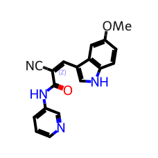 COc1ccc2[nH]cc(/C=C(/C#N)C(=O)Nc3cccnc3)c2c1